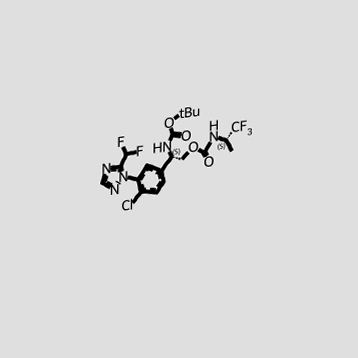 C[C@H](NC(=O)OC[C@@H](NC(=O)OC(C)(C)C)c1ccc(Cl)c(-n2ncnc2C(F)F)c1)C(F)(F)F